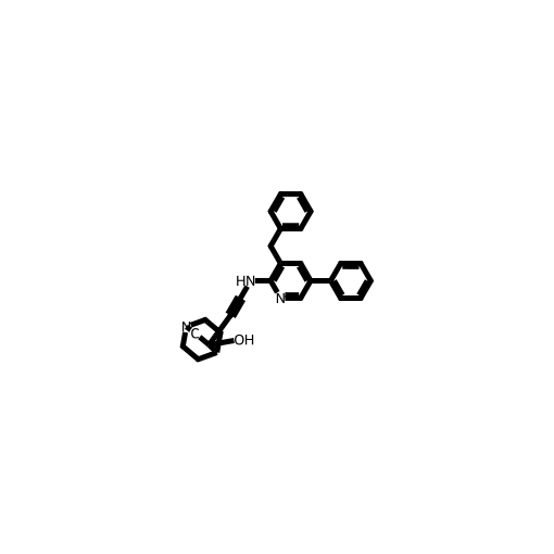 OC1(C#CNc2ncc(-c3ccccc3)cc2Cc2ccccc2)CN2CCC1CC2